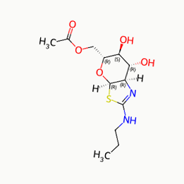 CCCNC1=N[C@@H]2[C@@H](O)[C@H](O)[C@@H](COC(C)=O)O[C@@H]2S1